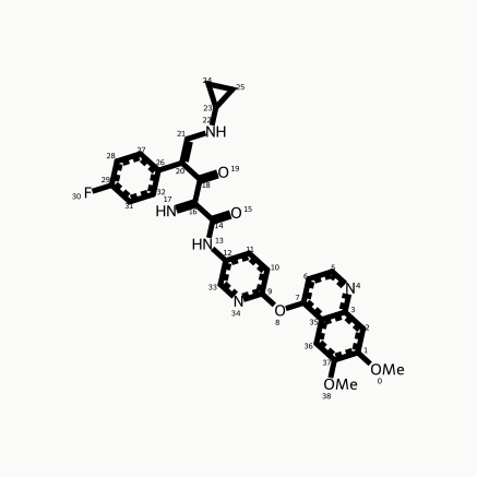 COc1cc2nccc(Oc3ccc(NC(=O)C(=N)C(=O)/C(=C\NC4CC4)c4ccc(F)cc4)cn3)c2cc1OC